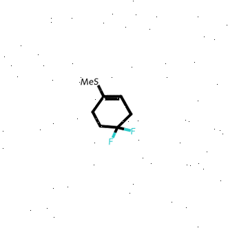 CSC1=CCC(F)(F)CC1